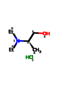 CCN(CC)[C@@H](C)CO.Cl